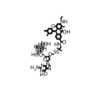 C=c1cc2c(cc1C)=C(c1ccc(C(=O)NCC(C)(C)SSCO[C@@H]3C[C@H](n4cnc5c(=O)[nH]c(N)nc54)O[C@@H]3COP(=O)(O)OP(=O)(O)OP(C)(=O)O)cc1C(=O)O)c1cc(C)c(NCC)cc1O2